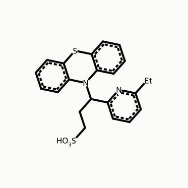 CCc1cccc(C(CCS(=O)(=O)O)N2c3ccccc3Sc3ccccc32)n1